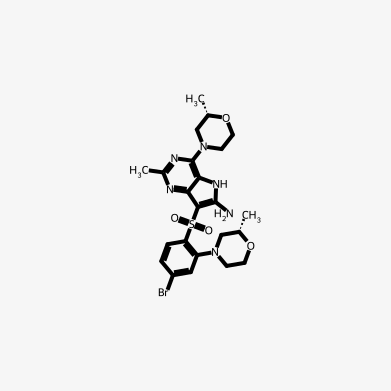 Cc1nc(N2CCO[C@@H](C)C2)c2[nH]c(N)c(S(=O)(=O)c3ccc(Br)cc3N3CCO[C@@H](C)C3)c2n1